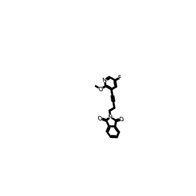 COc1ncc(F)cc1C#CCCN1C(=O)c2ccccc2C1=O